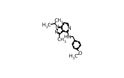 COc1ccc(CNc2nccc3c2c(C)nn3C(C)C)cc1